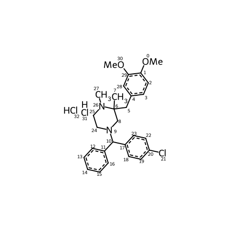 COc1ccc(CC2(C)CN(C(c3ccccc3)c3ccc(Cl)cc3)CCN2C)cc1OC.Cl.Cl